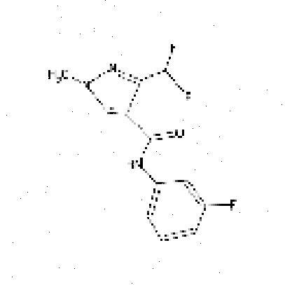 Cn1cc(C(=O)Nc2cccc(F)c2)c(C(F)F)n1